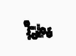 COc1ncccc1-c1ccc(O)c(-c2nc3cc(C(=O)N(C)CCC(O)c4ccccc4)ccc3[nH]2)c1